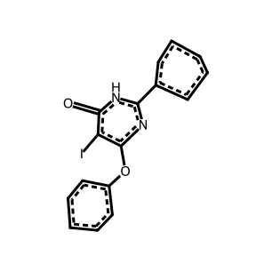 O=c1[nH]c(-c2ccccc2)nc(Oc2ccccc2)c1I